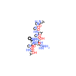 CC(C)C[C@H](NC(=O)[C@@H]1CCCN1C(=O)[C@H](Cc1c[nH]c2ccccc12)NC(=O)[C@H](CCCNC(=N)N)NC(=O)[C@H](CO)NC(=O)[C@@H]1CCCN1C(=O)[C@H](CC(C)C)NC(=O)[C@@H]1CCCN1C(=O)[C@@H]1CCCN1C(=O)[C@@H](N)CC(C)C)C(=O)O